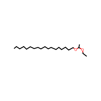 C[CH]OC(C)OCCCCCCCCCCCCCCCCCC